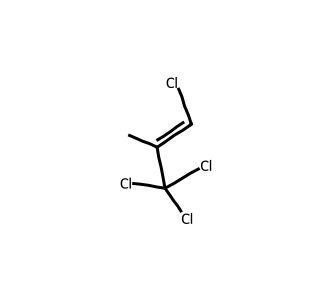 C/C(=C\Cl)C(Cl)(Cl)Cl